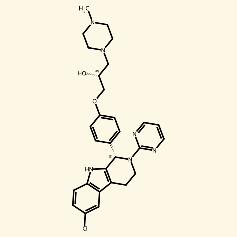 CN1CCN(C[C@@H](O)COc2ccc([C@H]3c4[nH]c5ccc(Cl)cc5c4CCN3c3ncccn3)cc2)CC1